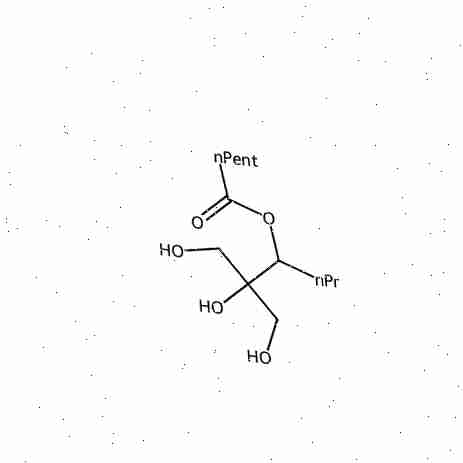 CCCCCC(=O)OC(CCC)C(O)(CO)CO